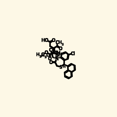 COC(=O)[C@@H](N[N@+]1(CC(C)(C)C)C(=O)CS[C@H](c2cccc3ccccc23)c2cc(Cl)ccc21)C(CC(=O)O)C(C)=O